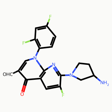 NC1CCN(c2nc3c(cc2F)c(=O)c(C=O)cn3-c2ccc(F)cc2F)C1